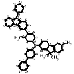 CC1C=CC2=C(C1)C1CC=C(N(c3ccc(-c4ccccc4)cc3)C3CC=C(c4ccc5c(c4)c4ccccc4n5-c4ccccc4)C(C)C3)C=C1C2(C)C